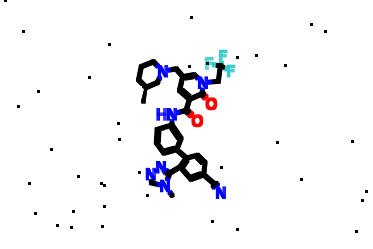 C[C@H]1CCCN(Cc2cc(C(=O)Nc3cccc(-c4ccc(C#N)cc4-c4nncn4C)c3)c(=O)n(CC(F)(F)F)c2)C1